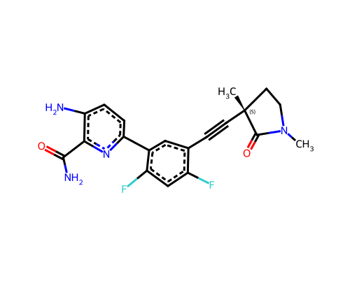 CN1CC[C@@](C)(C#Cc2cc(-c3ccc(N)c(C(N)=O)n3)c(F)cc2F)C1=O